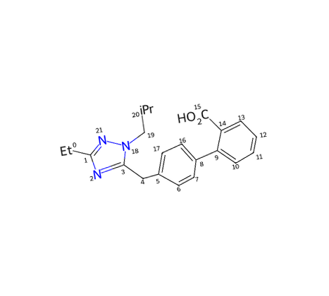 CCc1nc(Cc2ccc(-c3ccccc3C(=O)O)cc2)n(CC(C)C)n1